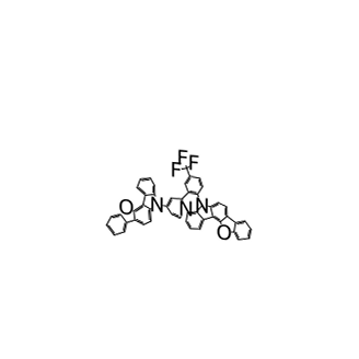 FC(F)(F)c1ccc(-n2c3ccccc3c3c4oc5ccccc5c4ccc32)c(-c2cc(-n3c4ccccc4c4c5oc6ccccc6c5ccc43)ccn2)c1